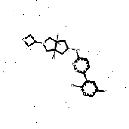 Fc1ccc(Cl)c(-c2ccc(N[C@H]3C[C@@H]4CN(C5COC5)C[C@@H]4C3)nn2)c1